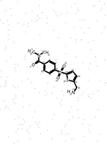 CN(C)C(=O)c1ccc(S(=O)(=O)c2ccc(CN)s2)cc1